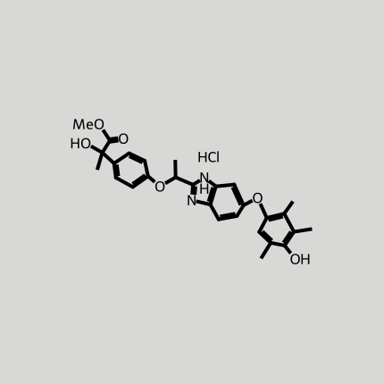 COC(=O)C(C)(O)c1ccc(OC(C)c2nc3ccc(Oc4cc(C)c(O)c(C)c4C)cc3[nH]2)cc1.Cl